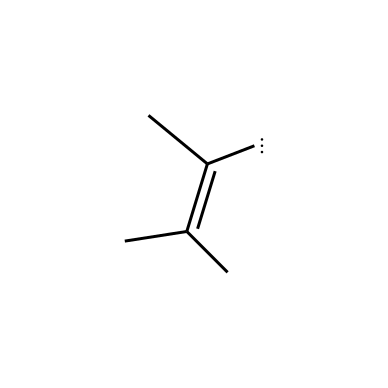 [C]C(C)=C(C)C